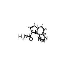 NC(=O)C1C=Cc2ccc3nnnc-3n21